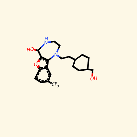 OCC1CCC(CCN2CCNC(O)c3oc4ccc(C(F)(F)F)cc4c32)CC1